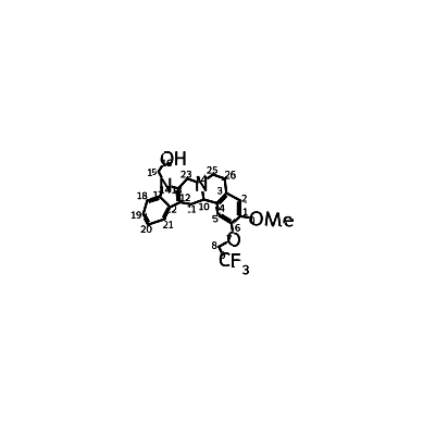 COc1cc2c(cc1OCC(F)(F)F)C1Cc3c(n(CO)c4ccccc34)CN1CC2